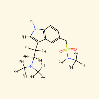 [2H]c1c(C([2H])([2H])C([2H])([2H])N(C([2H])([2H])[2H])C([2H])([2H])[2H])c2cc(CS(=O)(=O)N([2H])C([2H])([2H])[2H])ccc2n1[2H]